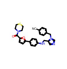 N#Cc1ccc(Cn2cncc2CNc2ccc(-c3ccc(C(=O)N4CCSCC4)o3)cc2)cc1